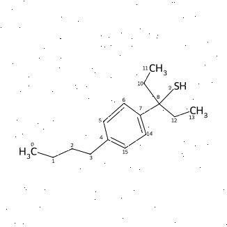 CCCCc1ccc(C(S)(CC)CC)cc1